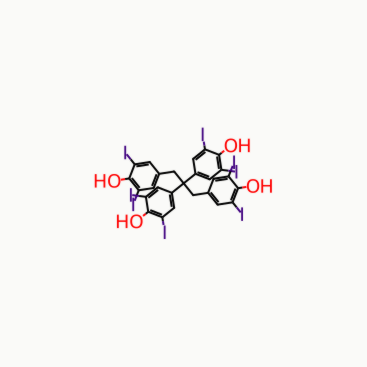 Oc1c(I)cc(CC(Cc2cc(I)c(O)c(I)c2)(c2cc(I)c(O)c(I)c2)c2cc(I)c(O)c(I)c2)cc1I